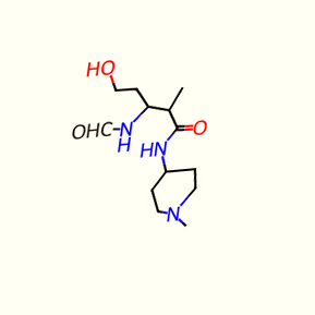 CC(C(=O)NC1CCN(C)CC1)C(CCO)NC=O